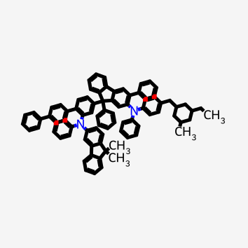 CCC1CC(C)CC(Cc2ccc(N(c3ccccc3)c3cc4c(cc3-c3ccccc3)-c3ccccc3C4(c3ccccc3)c3ccc(-c4ccc(-c5ccccc5)cc4)c(N(c4ccccc4)c4ccc5c(c4)-c4ccccc4C5(C)C)c3)cc2)C1